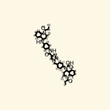 CCC(=O)N1c2ccccc2[C@H](N(C(=O)O)c2ccc(Cn3cc(C(=O)Nc4ccc(N[C@@H]5C[C@H](C)N(C(=O)CC)c6ccccc65)cc4)nn3)cc2)C[C@@H]1C